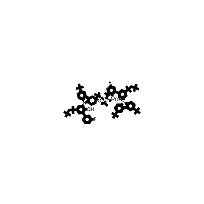 C[CH](C)[Ge]([CH2]Oc1ccc(F)cc1-c1cc(C(C)(C)CC(C)(C)C)cc(-n2c3ccc(C(C)(C)C)cc3c3cc(C(C)(C)C)ccc32)c1O)([CH2]OC1(C(C)(C)C)C=Cc2c(c3cc(C(C)(C)C)ccc3n2-c2cc(C(C)(C)CC(C)(C)C)cc(-c3cccc(F)c3)c2O)C1)[CH](C)C